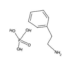 NCCc1ccccc1.O=P(O)(O)O